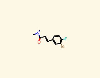 CN(C)C(=O)C=Cc1ccc(F)c(Br)c1